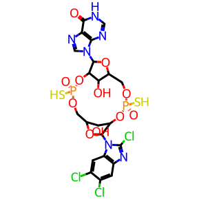 O=c1[nH]cnc2c1ncn2C1OC2COP(=O)(S)OC3C(O)C(COP(=O)(S)OC1C2O)OC3n1c(Cl)nc2cc(Cl)c(Cl)cc21